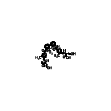 Cc1cc(C(=O)Nc2cccc(-c3cccc(NC(=O)c4cc(C)c(CN[C@H](CCO)C(=O)O)cn4)c3C)c2C)ncc1CN[C@H](CCO)C(=O)O